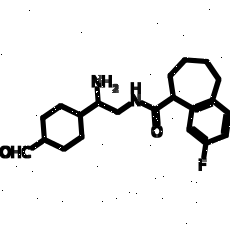 NC(CNC(=O)C1CCCCc2ccc(F)cc21)C1CCC(C=O)CC1